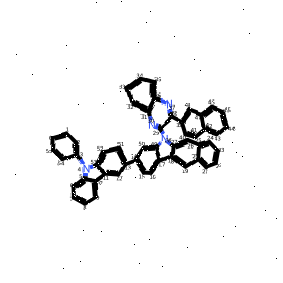 c1ccc(-n2c3ccccc3c3cc(-c4ccc5c6cc7ccccc7cc6n(-c6nc7ccccc7nc6-c6ccc7ccccc7c6)c5c4)ccc32)cc1